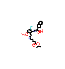 CC(C)OC(=O)CCC/C=C\CC1C(/C=C/[C@H](O)C2Cc3ccccc3C2)[C@@H](F)C[C@@H]1O